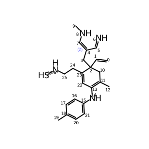 C=CC1(C/C(C=N)=C/NC)CC(C)=C(Nc2ccc(C)cc2)C=C1CCNS